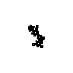 N#Cc1cc(/C=C/C(c2cc(Cl)cc(Cl)c2)C(F)(F)F)ccc1-n1cncn1